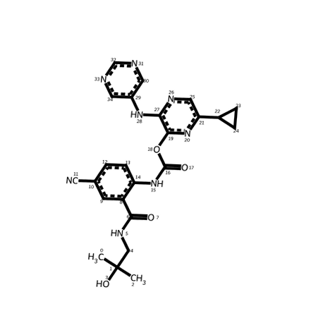 CC(C)(O)CNC(=O)c1cc(C#N)ccc1NC(=O)Oc1nc(C2CC2)cnc1Nc1cncnc1